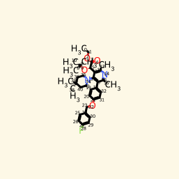 CCOC(=O)[C@@H](OC(C)(C)C)c1c(C)nc(C)c(-c2ccc(OCc3ccc(F)cc3)cc2)c1N1CCC(C)(C)CC1